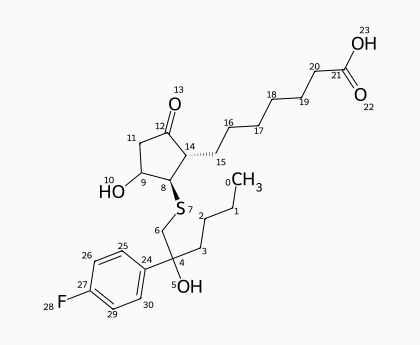 CCCCC(O)(CS[C@H]1C(O)CC(=O)[C@@H]1CCCCCCC(=O)O)c1ccc(F)cc1